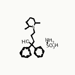 CC1CCCC(C)N1CCCC(O)(c1ccccc1)c1ccccc1.NS(=O)(=O)O